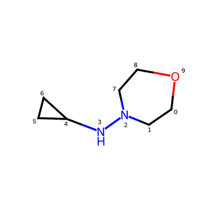 C1CN(NC2CC2)CCO1